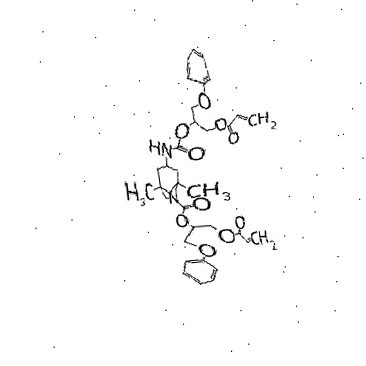 C=CC(=O)OCC(COc1ccccc1)OC(=O)NC1CC2(C)CN(C(=O)OC(COC(=O)C=C)COc3ccccc3)C(C)(C1)C2